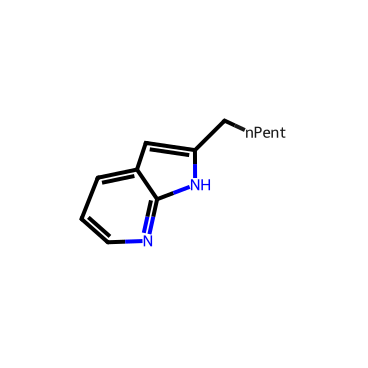 CCCCCCc1cc2cccnc2[nH]1